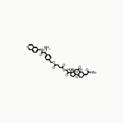 CCCCC(=O)/C=C1/CC[C@@H]2[C@@H](C1)C(=O)C[C@@]1(C)[C@H]2CC[C@]1(O)C(=O)COC(=O)CCC(=O)OCc1ccc([C@@H](CN)C(=O)Nc2ccc3cnccc3c2)cc1